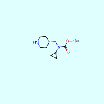 CC(C)(C)OC(=O)N(CC1CCNCC1)C1CC1